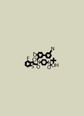 COc1ccc(-c2cccc(C#N)c2)cc1CN(C(=O)c1sc2cccc(F)c2c1Cl)C1CCC(N(CC(C)(C)C)C(=O)O)CC1